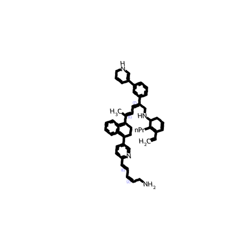 C=CC1=C(CCC)C(NC/C(=C\C=C(/C)C2=c3ccccc3=C(c3ccc(/C=C/C=C\CN)nc3)CC2)c2cccc(C3=CNCC=C3)c2)CC=C1